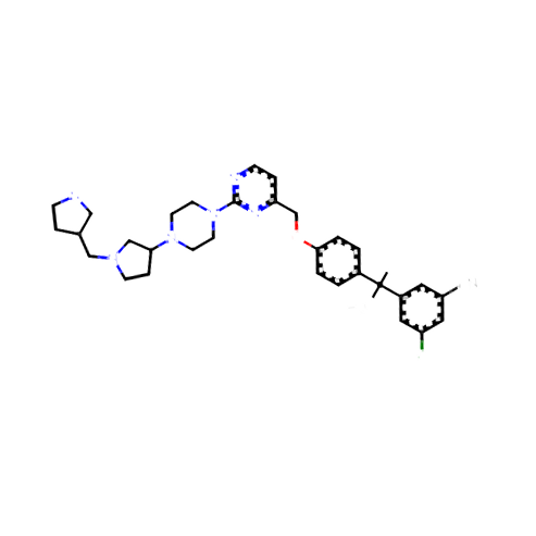 CC(C)(c1ccc(OCc2ccnc(N3CCN(C4CCN(CC5CCNC5)C4)CC3)n2)cc1)c1cc(Cl)cc(C#N)c1